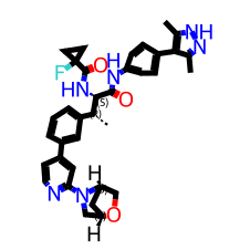 Cc1n[nH]c(C)c1-c1ccc(NC(=O)[C@@H](NC(=O)C2(F)CC2)[C@H](C)c2cccc(-c3ccnc(N4C[C@@H]5C[C@H]4CO5)c3)c2)cc1